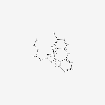 CN(CCO)C[C@H]1C[C@@H]2c3ccccc3Cc3ccc(F)cc3[C@H]2N1